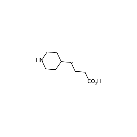 O=C(O)CC[CH]C1CCNCC1